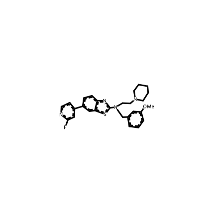 COc1cccc(CN(CCN2CCCCC2)c2nc3ccc(-c4ccnc(F)c4)cc3s2)c1